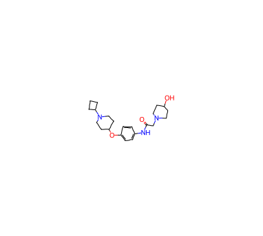 O=C(CN1CCC(O)CC1)Nc1ccc(OC2CCN(C3CCC3)CC2)cc1